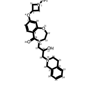 CCCN1CC(Oc2ccc3c(c2)OCCN(CC(O)CN2CCc4ccccc4C2)C3=O)C1